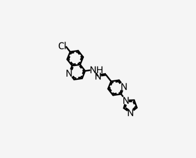 Clc1ccc2c(N/N=C/c3ccc(-n4ccnc4)nc3)ccnc2c1